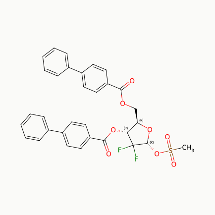 CS(=O)(=O)O[C@H]1O[C@H](COC(=O)c2ccc(-c3ccccc3)cc2)[C@@H](OC(=O)c2ccc(-c3ccccc3)cc2)C1(F)F